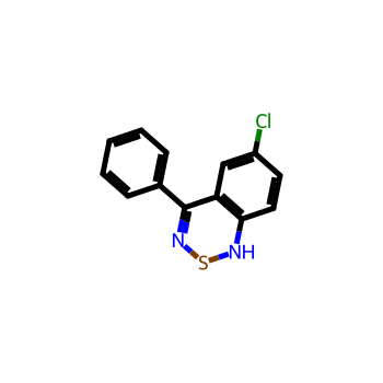 Clc1ccc2c(c1)C(c1ccccc1)=NSN2